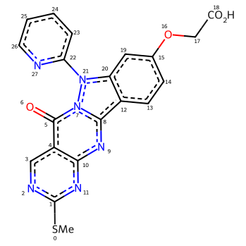 CSc1ncc2c(=O)n3c(nc2n1)c1ccc(OCC(=O)O)cc1n3-c1ccccn1